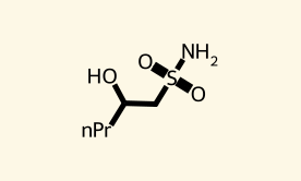 CCCC(O)CS(N)(=O)=O